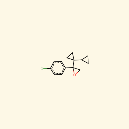 Clc1ccc(C2(C3(C4CC4)CC3)CO2)cc1